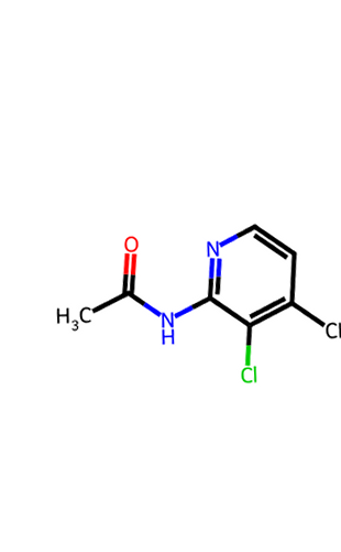 CC(=O)Nc1nccc(C)c1Cl